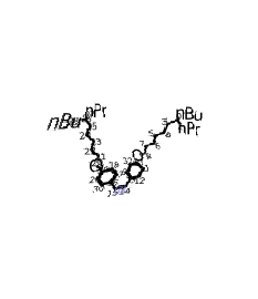 CCCCC(CCC)CCCCCCOc1ccc(/C=C\c2ccc(OCCCCCC(CCC)CCCC)cc2)cc1